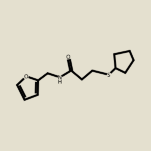 O=C(CCSC1CCCC1)NCc1ccco1